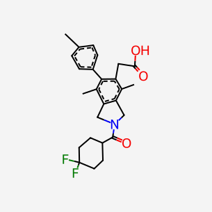 Cc1ccc(-c2c(C)c3c(c(C)c2CC(=O)O)CN(C(=O)C2CCC(F)(F)CC2)C3)cc1